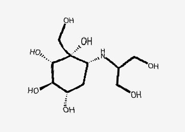 OCC(CO)N[C@@H]1C[C@H](O)[C@@H](O)[C@H](O)[C@@]1(O)CO